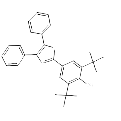 CC(C)(C)c1cc(-c2nc(-c3ccccc3)c(-c3ccccc3)o2)cc(C(C)(C)C)c1O